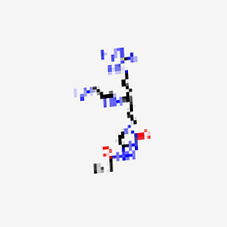 CC(C)(C)C(=O)Nc1ccn(CCC[C@H](CCCNC(=N)N)NCCCN)c(=O)n1